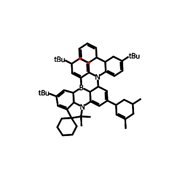 CC1=CC(C2=CC3C4B(C5=CC(C(C)(C)C)CC=C5N3C3=CC=C(C(C)(C)C)CC3C3C=CC=CC3)C3C=C(C(C)(C)C)C=C5C3N(C4=C2)C(C)(C)C52CCCCC2)CC(C)C1